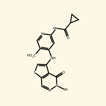 CC(C)n1ncc2scc(Nc3cc(NC(=O)C4CC4)ncc3C(=O)O)c2c1=O